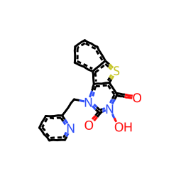 O=c1c2sc3ccccc3c2n(Cc2ccccn2)c(=O)n1O